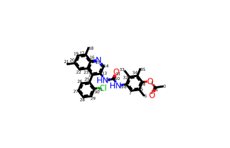 CC(=O)Oc1c(C)cc(NC(=O)Nc2cnc3c(C)cc(C)cc3c2-c2ccccc2Cl)c(C)c1C